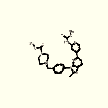 Cc1nc2ccc(-c3ccnc(NC(=O)OC(C)(C)C)c3)nc2n1-c1ccc(CN2CCN(C(=O)OC(C)(C)C)CC2)cc1